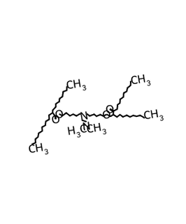 CCCCCCCCCCCCC(CCCCCCCCCC)C(=O)OCCCCCCN(CCCCCCOCC(CCCCCCCCCC)C(=O)CCCCCCCCCCC)CCN(C)C